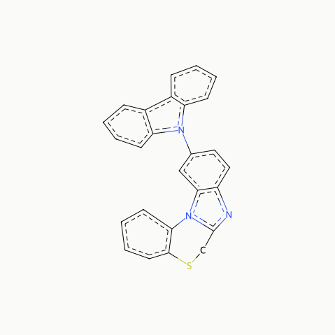 c1ccc2c(c1)SCc1nc3ccc(-n4c5ccccc5c5ccccc54)cc3n1-2